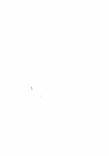 COc1ccc(NC[C@H](O)[C@@H](O)[C@H](O)[C@H](O)CO)cc1